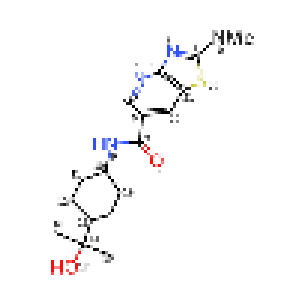 CNc1nc2ncc(C(=O)NC3CCC(C(C)(C)O)CC3)cc2s1